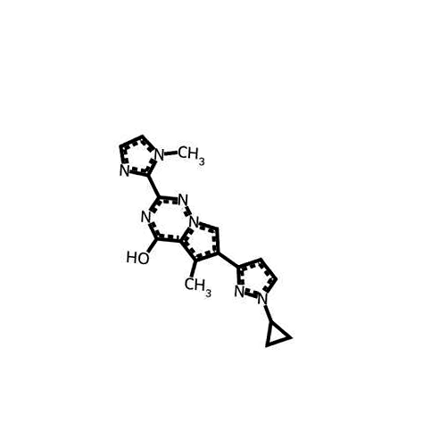 Cc1c(-c2ccn(C3CC3)n2)cn2nc(-c3nccn3C)nc(O)c12